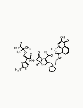 Cn1cc(O)c(=O)c2cccc(C(=O)NCC[N+]3(CC4=C(C(=O)O)N5C(=O)[C@@H](NC(=O)/C(=N\OC(C)(C)C(=O)O)c6csc(N)n6)[C@H]5SC4)CCCC3)c21